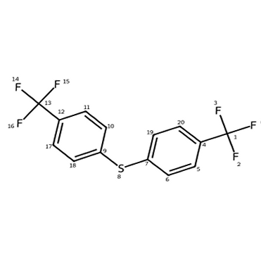 FC(F)(F)c1ccc(Sc2ccc(C(F)(F)F)cc2)cc1